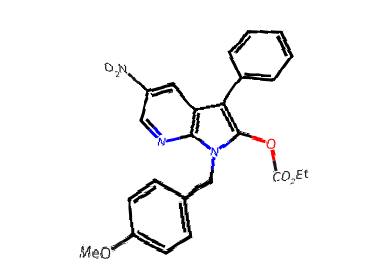 CCOC(=O)Oc1c(-c2ccccc2)c2cc([N+](=O)[O-])cnc2n1Cc1ccc(OC)cc1